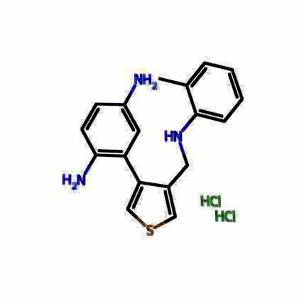 Cc1ccccc1NCc1cscc1-c1cc(N)ccc1N.Cl.Cl